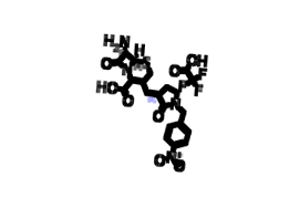 N[C@@H]1C(=O)N2C(C(=O)O)=C(/C=C3\CCN(Cc4ccc([N+](=O)[O-])cc4)C3=O)CS[C@H]12.O=C(O)C(F)(F)F